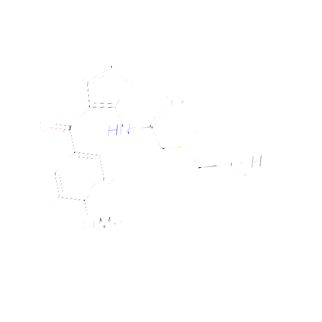 COc1ccc(C(=O)c2ccsc2NC(=O)CSCC(=O)O)cc1